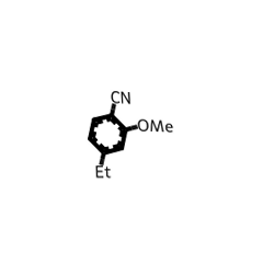 CCc1ccc(C#N)c(OC)c1